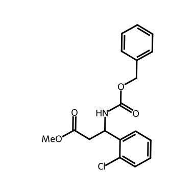 COC(=O)CC(NC(=O)OCc1ccccc1)c1ccccc1Cl